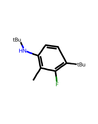 Cc1c(NC(C)(C)C)ccc(C(C)(C)C)c1F